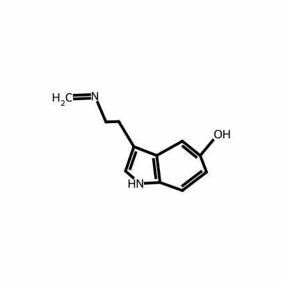 C=NCCc1c[nH]c2ccc(O)cc12